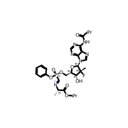 CC(C)OC(=O)[C@H](C)/N=C/[P@](=O)(OC[C@H]1O[C@@H](n2cnc3c(NC(=O)C(C)C)ncnc32)[C@](C)(F)[C@@H]1O)Oc1ccccc1